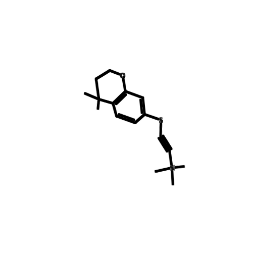 CC1(C)CCOc2cc(SC#C[Si](C)(C)C)ccc21